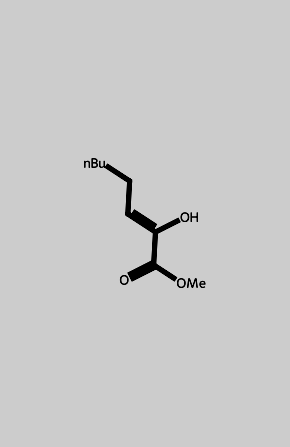 CCCCCC=C(O)C(=O)OC